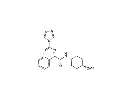 CO[C@H]1CC[C@H](NC(=O)c2nc(-n3ccnc3)cc3ccccc23)CC1